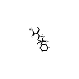 C/C=C(\C(=O)O)C1=NC(C)(C2CCCCC2)C(=O)N1